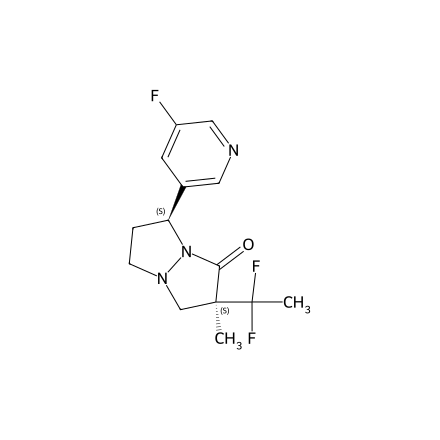 CC(F)(F)[C@@]1(C)CN2CC[C@@H](c3cncc(F)c3)N2C1=O